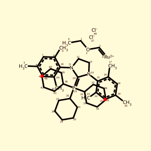 CCO[CH]=[Ru+2].Cc1cc(C)c(N2CCN(c3c(C)cc(C)cc3C)C2=P(C2CCCCC2)(C2CCCCC2)C2CCCCC2)c(C)c1.[Cl-].[Cl-]